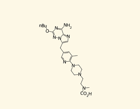 CCCCOc1nc(N)c2ncc(Cc3cnc(N4CCN(CCN(C)C(=O)O)CC4)c(C)c3)n2n1